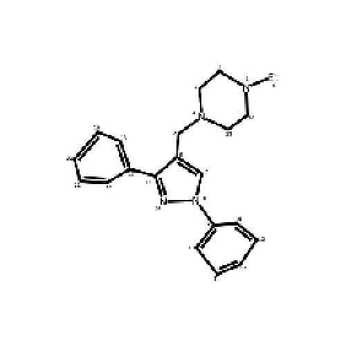 CCN1CCN(Cc2cn(-c3ccccc3)nc2-c2ccccc2)CC1